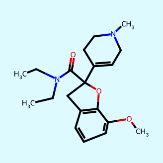 CCN(CC)C(=O)C1(C2=CCN(C)CC2)Cc2cccc(OC)c2O1